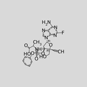 C#C[C@]1(CO)O[C@@H](n2cnc3c(N)nc(F)nc32)C[C@@H]1O[P@@](=O)(NC(C)C(=O)O)Oc1ccccc1